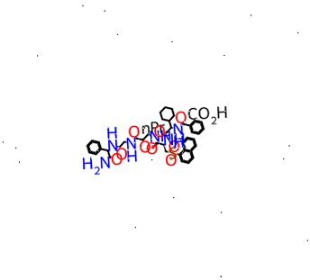 CCCC(NC(=O)[C@H](CS(=O)(=O)c1cccc2ccccc12)NC(=O)[C@@H](NC(=O)c1ccccc1C(=O)O)C1CCCCC1)C(=O)C(=O)NCC(=O)N[C@H](C(N)=O)c1ccccc1